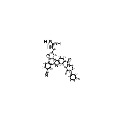 Cc1cccc(N2CCN(C(=O)c3ccc4c(c3)nc(-c3cccc(C#N)c3)n4[C@H](C=O)CCCNC(=N)N)CC2C)c1